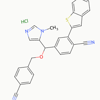 Cl.Cn1cncc1C(OCc1ccc(C#N)cc1)c1ccc(C#N)c(-c2cc3ccccc3s2)c1